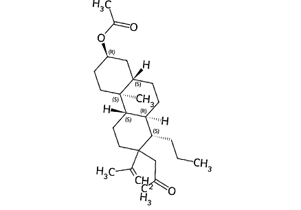 C=C(C)C1(CC(C)=O)CC[C@H]2[C@@H](CC[C@H]3C[C@H](OC(C)=O)CC[C@@]32C)[C@@H]1CCC